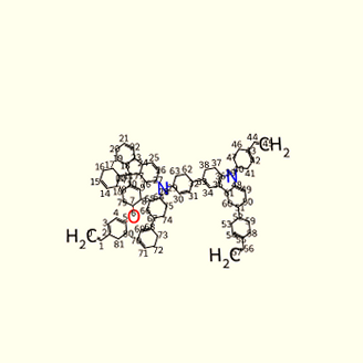 C=CC1=CC=C(OC2CC=C(C3([C@H]4CC=CCC4)C4CCC=CC4C4C=CC(N(C5C=CC(C6=CC7=C(CC6)N(C6CC=C(C=C)CC6)C6=CCC(C8CC=C(C=C)CC8)CC67)CC5)C5CCC(C6=CC=CCC6)CC5)CC43)CC2)CC1